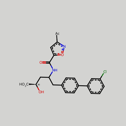 CC(=O)c1cc(C(=O)NC(Cc2ccc(-c3cccc(Cl)c3)cc2)C[C@@H](O)C(=O)O)on1